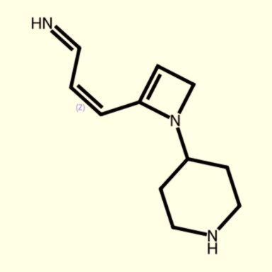 N=C/C=C\C1=CCN1C1CCNCC1